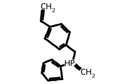 C=Cc1ccc(C[PH](=C)c2ccccc2)cc1